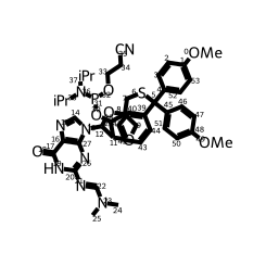 COc1ccc(C(SCC23COC(C(n4cnc5c(=O)[nH]c(N=CN(C)C)nc54)O2)C3OP(OCCC#N)N(C(C)C)C(C)C)(c2ccccc2)c2ccc(OC)cc2)cc1